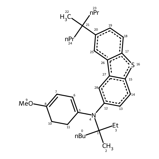 CCCCC(C)(CC)N(C1=CC=C(OC)CC1)c1ccc2sc3ccc(C(C)(CCC)CCC)cc3c2c1